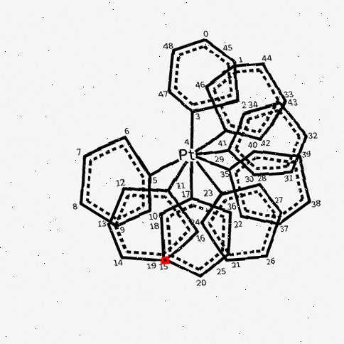 c1cc[c]([Pt]([c]2ccccc2)([c]2ccccc2)([c]2ccccc2)([c]2ccccc2)([c]2ccccc2)([c]2ccccc2)[c]2ccccc2)cc1